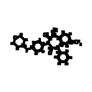 CCN1C(=O)C(c2ccc(CN3CCOCC3)cc2)C(=O)N(c2ccccc2)c2cc(C(F)(F)F)ccc21